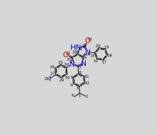 CC(C)c1ccc(-c2nc3c([nH]c(=O)n3-c3ccccc3)c(=O)n2-c2ccc(I)cc2)cc1